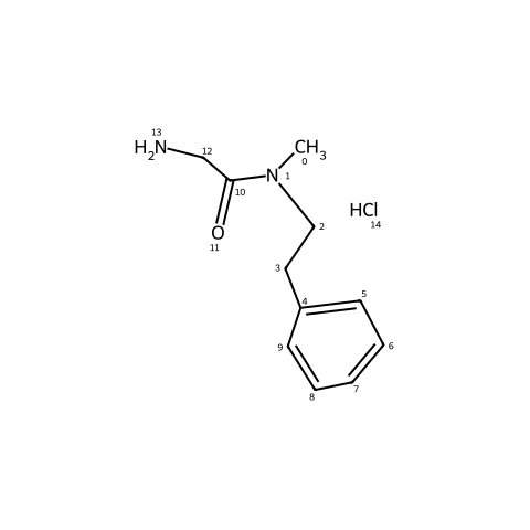 CN(CCc1ccccc1)C(=O)CN.Cl